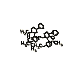 C=Cc1ccc(-c2ccccc2)cc1-c1cc(C(C)(C)C)cc[n+]1CCc1ccc2c(oc3ccccc32)c1-c1cc(CC)cc[n+]1CC